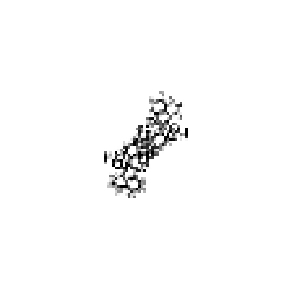 O=C1c2cccc3cccc(c23)C(=O)N1c1cc(C(c2ccc(O)c(N3C(=O)c4cccc5cccc(c45)C3=O)c2)(C(F)(F)F)C(F)(F)F)ccc1O